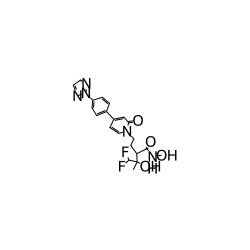 CC(O)(C(F)F)C(CCn1ccc(-c2ccc(-n3nccn3)cc2)cc1=O)C(=O)NO